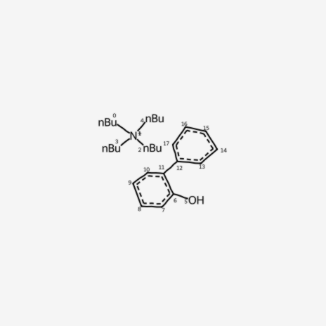 CCCC[N+](CCCC)(CCCC)CCCC.Oc1ccccc1-c1ccccc1